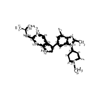 Cc1nc2c(F)cc(-c3c[nH]c4nc(N[C@H](C)C(F)(F)F)ncc34)cc2n1C1CCN(C)CC1